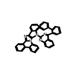 c1ccc(-c2ccccc2-c2nc(-n3c4ccccc4c4nc5c6ccccc6c6ccccc6n5c43)nc3ccccc23)cc1